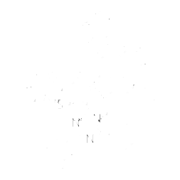 c1ccc(-c2nc(-c3ccccc3-c3ccc(-c4ccc(-c5ccccc5)c5ccccc45)c4ccccc34)nc(-c3cccc4c3sc3ccccc34)n2)cc1